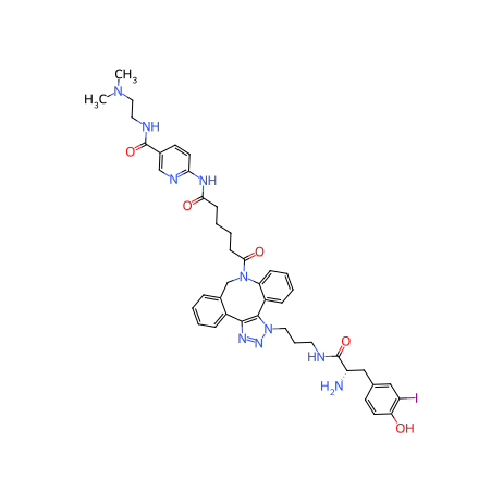 CN(C)CCNC(=O)c1ccc(NC(=O)CCCCC(=O)N2Cc3ccccc3-c3nnn(CCCNC(=O)[C@@H](N)Cc4ccc(O)c(I)c4)c3-c3ccccc32)nc1